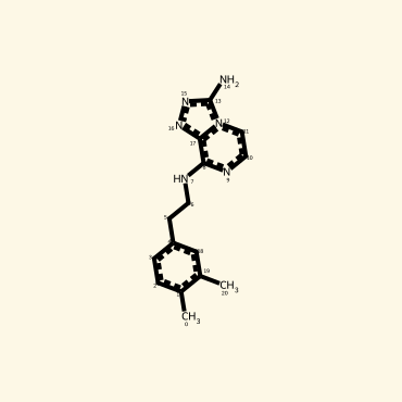 Cc1ccc(CCNc2nccn3c(N)nnc23)cc1C